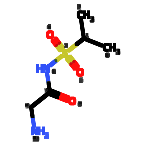 CC(C)S(=O)(=O)NC(=O)CN